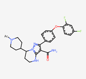 CC(=O)N1CCC(C2CCNc3c(C(N)=O)c(-c4ccc(Oc5ccc(F)cc5F)cc4)nn32)CC1